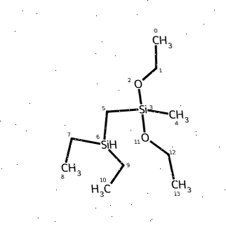 CCO[Si](C)(C[SiH](CC)CC)OCC